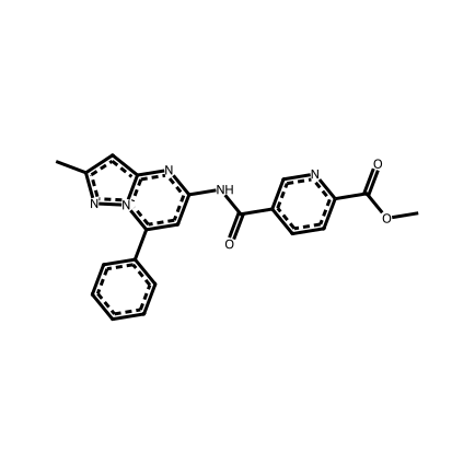 COC(=O)c1ccc(C(=O)Nc2cc(-c3ccccc3)n3nc(C)cc3n2)cn1